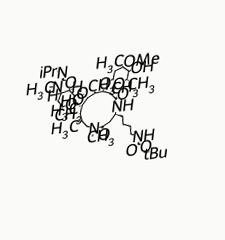 CO[C@]1(C)C[C@H](O[C@H]2[C@H](C)[C@@H](O[C@@H]3O[C@H](C)C[C@H]4[C@H]3O/C(=N/C(C)C)N4C)[C@](C)(O)C[C@@H](C)CN(C)C(=O)C[C@H](CCCCNC(=O)OC(C)(C)C)NC(=O)[C@@H]2C)O[C@@H](C)[C@@H]1O